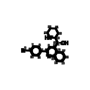 O[C@H](c1cc(-c2ccc(Br)cc2)nc2ccccc12)C1CCCCN1